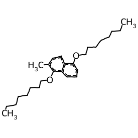 CCCCCCCCOc1cccc2c(OCCCCCCCC)c(C)ccc12